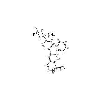 CC1(F)CC(N)(c2ccc(-c3nc4ccnc(C#N)c4cc3-c3ccccc3)cc2)C1